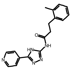 Cc1ccccc1CCC(=O)Nc1nnc(-c2ccncc2)[nH]1